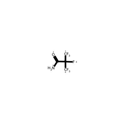 NC(=O)C(F)(C(F)(F)F)C(F)(F)F